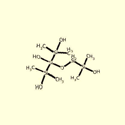 C[Si](C)(O)[SiH2]O[Si](O)([Si](C)(C)O)[Si](C)(C)O